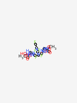 COC(=O)N[C@H](C(=O)N1CCC[C@H]1c1nc2cc(C3CC[C@H](c4cc5nc([C@@H]6CCCN6C(=O)C(NC(O)OC)C6CCOCC6)[nH]c5cc4F)N3c3cc(F)c(N4CCC(c5ccc(F)cc5)CC4)c(F)c3)c(F)cc2[nH]1)C1CCOCC1